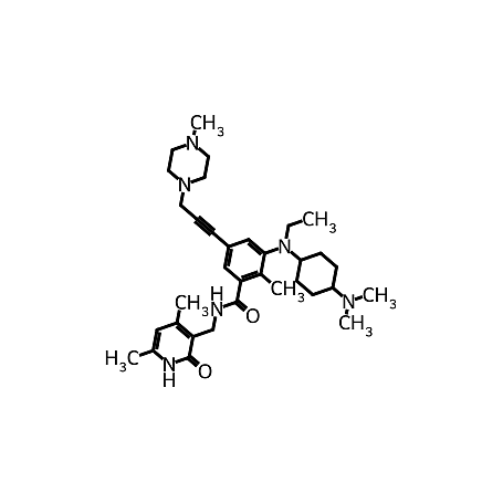 CCN(c1cc(C#CCN2CCN(C)CC2)cc(C(=O)NCc2c(C)cc(C)[nH]c2=O)c1C)C1CCC(N(C)C)CC1